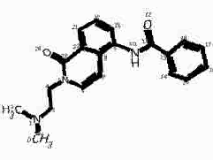 CN(C)CCn1ccc2c(NC(=O)c3ccccc3)cccc2c1=O